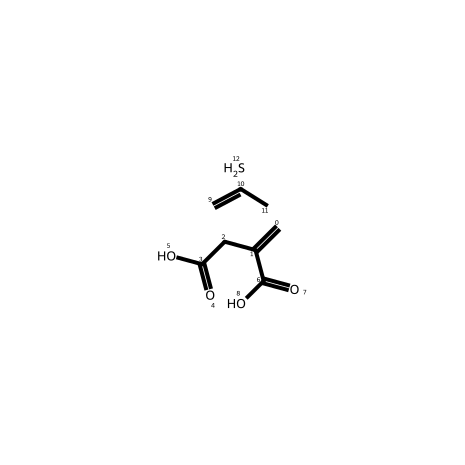 C=C(CC(=O)O)C(=O)O.C=CC.S